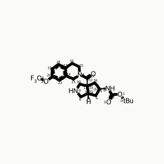 CC(C)(C)OC(=O)N[C@H]1C[C@@H]2CNC[C@]2(C(=O)N2CCc3ccc(OC(F)(F)F)cc3C2)C1